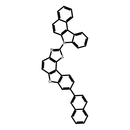 c1ccc2cc(-c3ccc4c(c3)oc3ccc5nc(-n6c7ccccc7c7c8ccccc8ccc76)sc5c34)ccc2c1